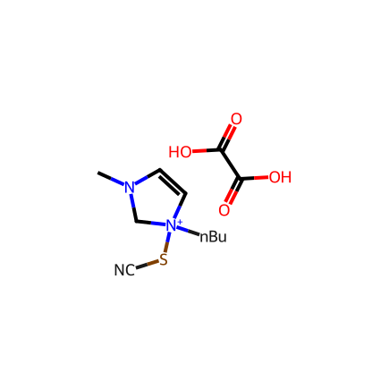 CCCC[N+]1(SC#N)C=CN(C)C1.O=C(O)C(=O)O